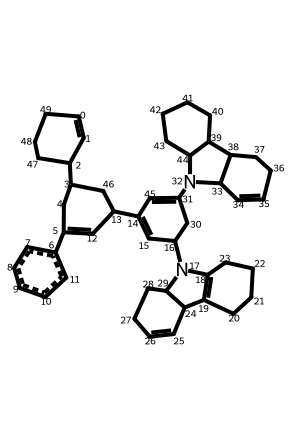 C1=CC(C2CC(c3ccccc3)=CC(C3=CC(N4C5=C(CCCC5)C5C=CCCC54)CC(N4C5C=CCCC5C5CCCCC54)=C3)C2)CCC1